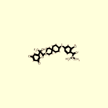 CN(C)C(=O)c1ccc(SC2CCC3(CC2)CCN(C(=O)C(O)(c2cc(Cl)cc(Cl)c2)C(F)(F)F)CC3)cc1Cl